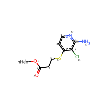 CCCCCCOC(=O)CCSc1ccnc(N)c1Cl